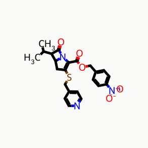 CC(C)C1C(=O)N2C(C(=O)OCc3ccc([N+](=O)[O-])cc3)=C(SCc3ccncc3)CC12